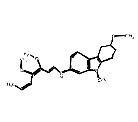 C\C=C/C(OC)=C(\C=C\Nc1ccc2c3c(n(C)c2c1)CCC(OC)C3)OC